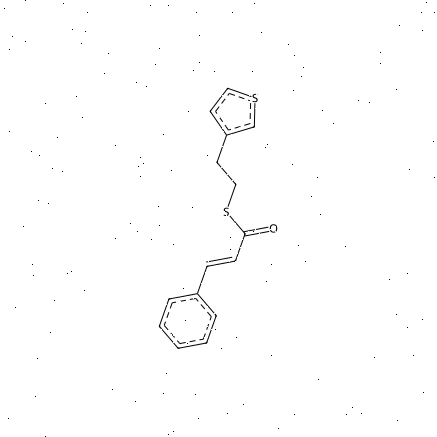 O=C(C=Cc1ccccc1)SCCc1ccsc1